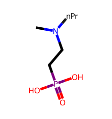 CCCN(C)CCP(=O)(O)O